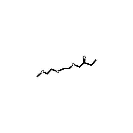 CCC(=O)COCCOCCOC